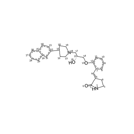 O=C1NCCC1=Cc1ccccc1OC[C@H](O)CN1CCC(c2ccc3ccccc3c2)CC1